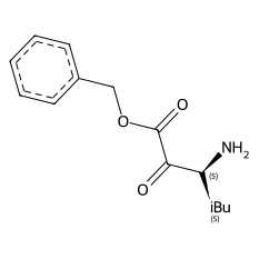 C[CH][C@H](C)[C@H](N)C(=O)C(=O)OCc1ccccc1